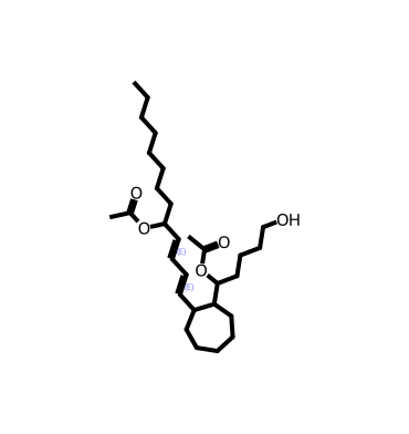 CCCCCCCCC(/C=C/C=C/C1CCCCCC1C(CCCCO)OC(C)=O)OC(C)=O